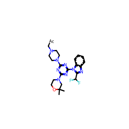 CC(=O)CN1CCN(c2nc(N3CCOC(C)(C)C3)nc(-n3c(C(F)F)nc4ccccc43)n2)CC1